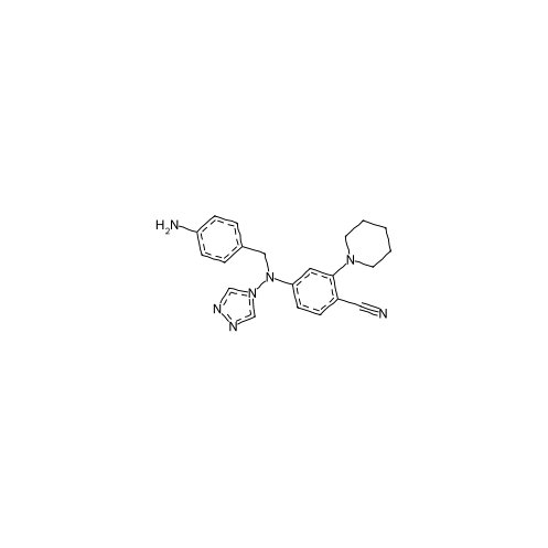 N#Cc1ccc(N(Cc2ccc(N)cc2)n2cnnc2)cc1N1CCCCC1